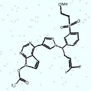 COCCS(=O)(=O)c1cccc(C(CC=C(F)F)n2cc(-c3ncnc4c3ccn4OC(=O)C(F)(F)F)cn2)c1